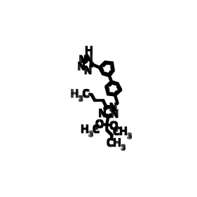 CCCCc1nc(C(CCC)(OC)OC)nn1Cc1ccc(-c2cccc(-c3nnn[nH]3)c2)cc1